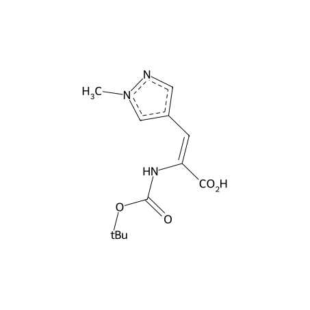 Cn1cc(/C=C(\NC(=O)OC(C)(C)C)C(=O)O)cn1